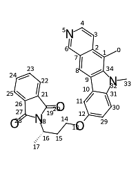 Cc1c2ccncc2cc2c3cc(OCC[C@H](C)N4C(=O)c5ccccc5C4=O)ccc3n(C)c12